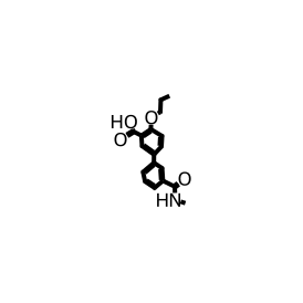 CCCOc1ccc(-c2cccc(C(=O)NC)c2)cc1C(=O)O